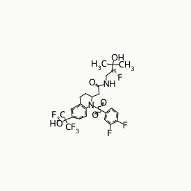 CC(C)(O)[C@H](F)CNC(=O)CC1CCc2cc(C(O)(C(F)(F)F)C(F)(F)F)ccc2N1S(=O)(=O)c1ccc(F)c(F)c1